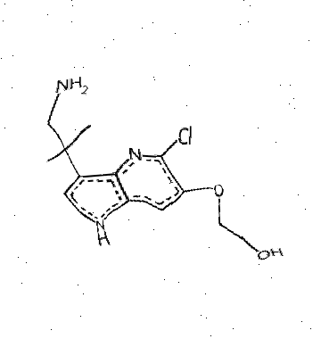 CC(C)(CN)c1c[nH]c2cc(OCCO)c(Cl)nc12